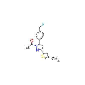 CCC(=O)N1N=C(c2cc(C)cs2)CC1c1ccc(CF)cc1